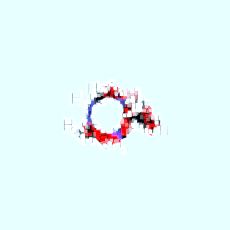 [2H]C([2H])([2H])O[C@H]1C[C@@H]2CC[C@@H](C)[C@@](O)(O2)C(=O)C(=O)N2CCCC[C@H]2C(=O)O[C@H]([C@H](C)C[C@@H]2CC[C@@H](OC([2H])([2H])C([2H])([2H])O)[C@H](OC)C2)CC(=O)[C@H](C)/C=C(\C)[C@@H](O)[C@@H](OC)C(=O)[C@H](C)C[C@H](C)/C=C/C=C/C=C/1C